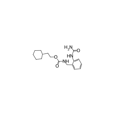 NC(=O)Nc1ccccc1CNC(=O)OCCC1CCCCC1